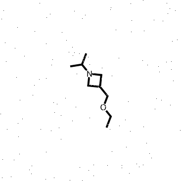 CCOCC1CN(C(C)C)C1